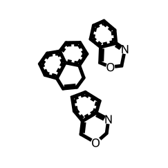 C1=Cc2cccc3cccc(c23)C1.C1=c2ccccc2=NCO1.C1=c2ccccc2=NCO1